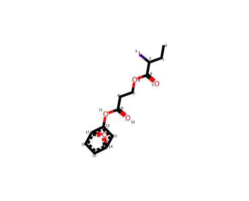 CCC(I)C(=O)OCCC(=O)Oc1cc2ccc1o2